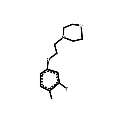 Cc1ccc(OCCN2CCOCC2)cc1F